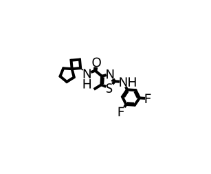 Cc1sc(Nc2cc(F)cc(F)c2)nc1C(=O)N[C@H]1CCC12CCCC2